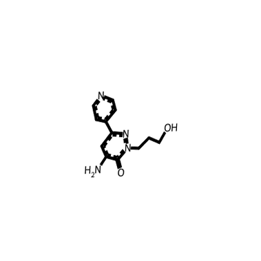 Nc1cc(-c2ccncc2)nn(CCCO)c1=O